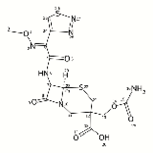 CON=C(C(=O)NC1C(=O)N2CC(COC(N)=O)(C(=O)O)CS[C@H]12)c1csnn1